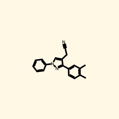 Cc1ccc(-c2nn(-c3ccccc3)cc2CC#N)cc1C